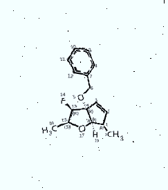 C[C@@H]1C=C[C@]2(OCc3ccccc3)[C@H](F)[C@H](C)O[C@H]12